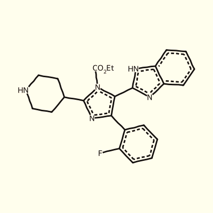 CCOC(=O)n1c(C2CCNCC2)nc(-c2ccccc2F)c1-c1nc2ccccc2[nH]1